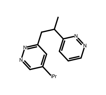 CC(C)c1cnnc(CC(C)c2cccnn2)c1